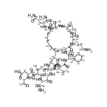 CC(=O)CN[C@@H](CC(=O)O)C(=O)N[C@H](C(=O)N[C@@H](CC(N)=O)C(=O)CN[C@H](C(=O)N[C@@H](CC(C)C)C(=O)N[C@@H](CC(C)C)C(=O)N[C@@H](Cc1ccccc1)C(=O)N[C@@]1(C)CCC/C=C\CCC[C@@](C)(C(=O)N[C@@H](CCC(N)=O)C(N)=O)NC(=O)[C@H](C)NC(=O)[C@H](C(C)C)NC(=O)[C@H](CCCCN)NC1=O)[C@@H](C)O)C(C)C